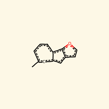 Cc1cccc2c3occc3cc-2c1